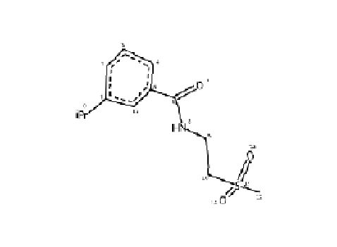 CC(C)c1cccc(C(=O)NCCS(C)(=O)=O)c1